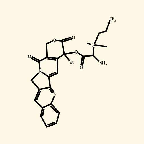 CCC1(OC(=O)C(N)[Si](C)(C)CCC(F)(F)F)C(=O)OCc2c1cc1n(c2=O)Cc2cc3ccccc3nc2-1